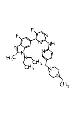 CCN1CCN(Cc2ccc(Nc3ncc(F)c(-c4cc(F)c5nc(C)n(N(CC)CC)c5c4)n3)nc2)CC1